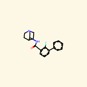 O=C(NC1CN2CCC1CC2)c1cccc(-c2ccccc2)c1F